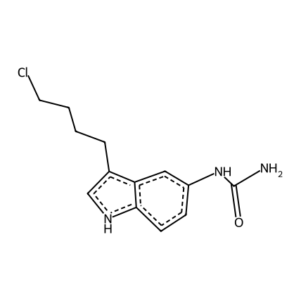 NC(=O)Nc1ccc2[nH]cc(CCCCCl)c2c1